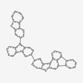 c1ccc2c(c1)-c1cccc3c1c-2cc1sc2ccc(-c4ccc5c(c4)c4ccccc4n5-c4ccc5c(c4)sc4ccccc45)cc2c13